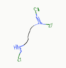 ClNCCN(Cl)Cl